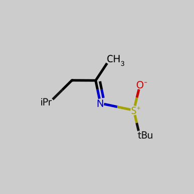 CC(CC(C)C)=N[S+]([O-])C(C)(C)C